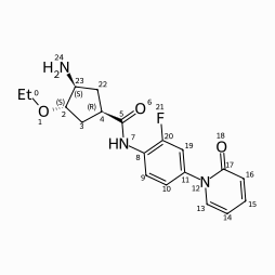 CCO[C@H]1C[C@H](C(=O)Nc2ccc(-n3ccccc3=O)cc2F)C[C@@H]1N